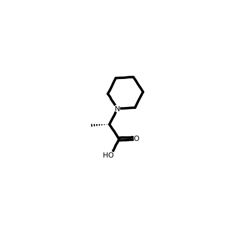 C[C@@H](C(=O)O)N1CCCCC1